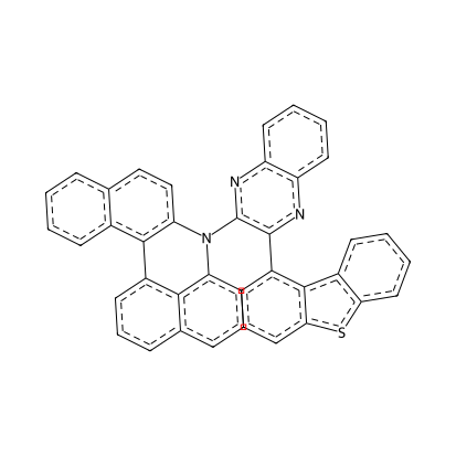 c1ccc2c3c(ccc2c1)N(c1nc2ccccc2nc1-c1cccc2sc4ccccc4c12)c1cccc2cccc-3c12